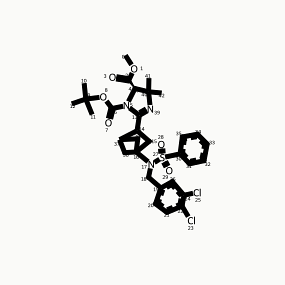 COC(=O)[C@@H]1N(C(=O)OC(C)(C)C)C(C2CC3(N(Cc4ccc(Cl)c(Cl)c4)S(=O)(=O)c4ccccc4)CC2C3)=NC1(C)C